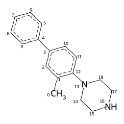 Cc1cc(-c2ccccc2)ccc1N1CCNCC1